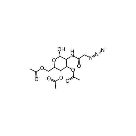 CC(=O)OCC1O[C@@H](O)C(NC(=O)CN=[N+]=[N-])C(OC(C)=O)[C@@H]1OC(C)=O